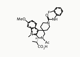 COc1ccc2c3c(n(C)c2c1)[C@@H](C(C)C(=O)O)N(C(C)=O)CC31CCN(C(=O)Nc2ccccc2F)CC1